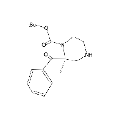 CC(C)(C)OC(=O)N1CCNC[C@@]1(C)C(=O)c1ccccc1